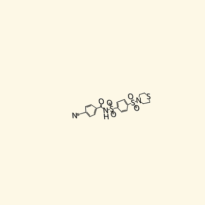 N#Cc1ccc(C(=O)NS(=O)(=O)c2ccc(S(=O)(=O)N3CCSCC3)cc2)cc1